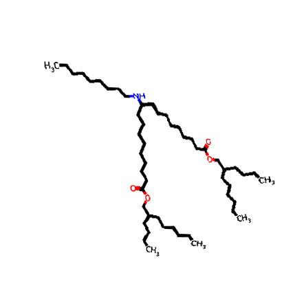 CCCCCCCCCNC(CCCCCCCCC(=O)OCC(CCCC)CCCCCC)CCCCCCCCC(=O)OCC(CCCC)CCCCCC